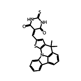 CC1(C)c2cc(C=C3C(=O)NC(=S)NC3=O)sc2-n2c3ccccc3c3cccc1c32